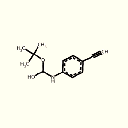 C#Cc1ccc(NC(O)OC(C)(C)C)cc1